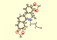 CCCCN1c2c(ccc3cc4c(cc23)OCO4)-c2ccc3c(c2C1C)OCO3